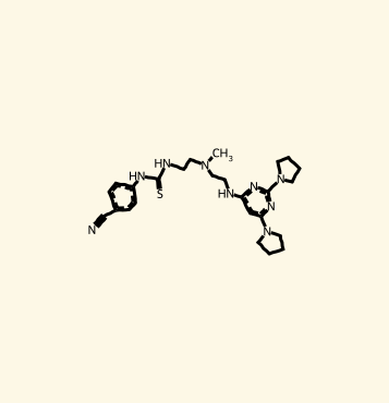 CN(CCNC(=S)Nc1ccc(C#N)cc1)CCNc1cc(N2CCCC2)nc(N2CCCC2)n1